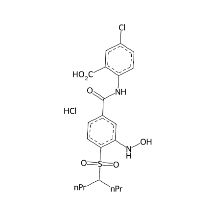 CCCC(CCC)S(=O)(=O)c1ccc(C(=O)Nc2ccc(Cl)cc2C(=O)O)cc1NO.Cl